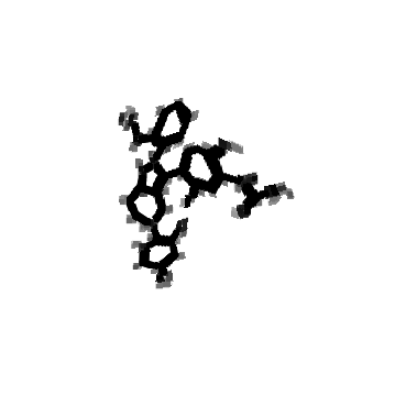 NC(=O)Nc1cc(F)c(-c2c3c(nn2-c2ccccc2OC(F)(F)F)CCN(c2ncc(Cl)cc2Cl)C3)cc1F